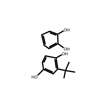 CC(C)(C)c1cc(O)ccc1O.Oc1ccccc1O